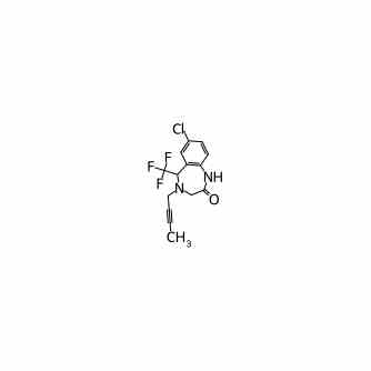 CC#CCN1CC(=O)Nc2ccc(Cl)cc2C1C(F)(F)F